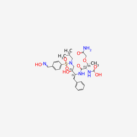 CC(C)CN(C[C@H](O)[C@H](Cc1ccccc1)NC(=O)[C@@H](NC(=O)O)[C@@H](C)OCC(N)=O)S(=O)(=O)c1ccc(C=NO)cc1